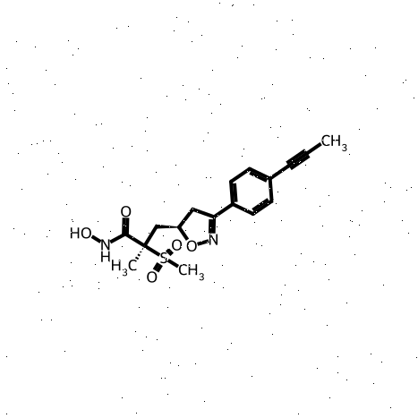 CC#Cc1ccc(C2=NO[C@@H](C[C@](C)(C(=O)NO)S(C)(=O)=O)C2)cc1